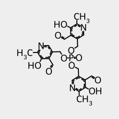 Cc1ncc(COP(=O)(OCc2cnc(C)c(O)c2C=O)OCc2cnc(C)c(O)c2C=O)c(C=O)c1O